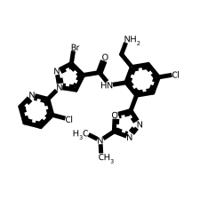 CN(C)c1nnc(-c2cc(Cl)cc(CN)c2NC(=O)c2cn(-c3ncccc3Cl)nc2Br)o1